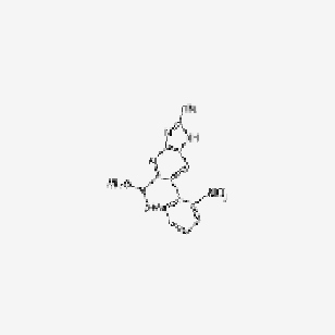 CCCCc1nc2nc(C(OC)OC)c(-c3ccccc3[N+](=O)[O-])cc2[nH]1